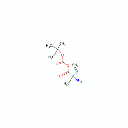 C=CC(C)(N)C(=O)OC(=O)OC(C)(C)C